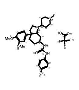 COc1ccc(C23CCC(NC(=O)Nc4ccc(C(F)(F)F)cc4)CC2N(C2CCN(C)CC2)CC3)cc1OC.O=C(O)C(F)(F)F